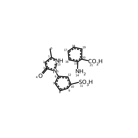 Cc1cc(=O)n(-c2cccc(S(=O)(=O)O)c2)[nH]1.Nc1ccccc1C(=O)O